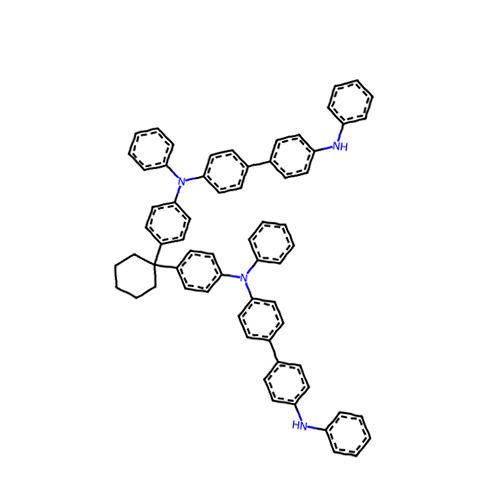 c1ccc(Nc2ccc(-c3ccc(N(c4ccccc4)c4ccc(C5(c6ccc(N(c7ccccc7)c7ccc(-c8ccc(Nc9ccccc9)cc8)cc7)cc6)CCCCC5)cc4)cc3)cc2)cc1